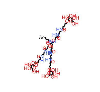 CC(=O)CCCC(=O)NC(COCCC(=O)NCCCNC(=O)CCCCO[C@@H]1OC(CO)[C@@H](O)C(O)C1O)(COCCC(=O)NCCCNC(=O)CCCCO[C@@H]1OC(CO)[C@@H](O)C(O)C1O)COCCC(=O)NCCCNC(=O)CCCCO[C@@H]1OC(CO)[C@@H](O)C(O)[C@H]1O